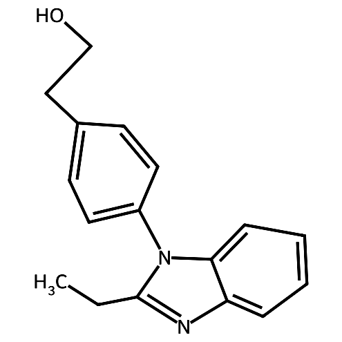 CCc1nc2ccccc2n1-c1ccc(CCO)cc1